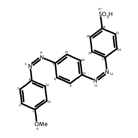 COc1ccc(/N=N\c2ccc(/N=N\c3ccc(S(=O)(=O)O)cc3)cc2)cc1